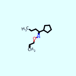 C=CCON=C(CCC)C1CCCC1